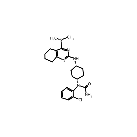 CN(C)c1nc(N[C@H]2CC[C@@H](N(C(N)=O)c3ccccc3Cl)CC2)nc2c1CCCC2